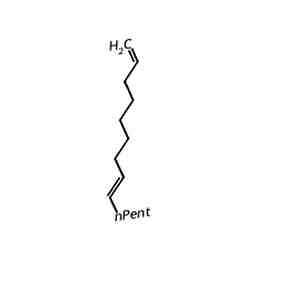 C=CCCCCCC=CCCCCC